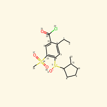 CCc1cc([S+]([O-])C2CCCC2C)c(S(C)(=O)=O)cc1C(=O)Cl